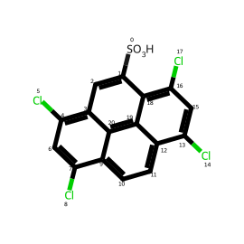 O=S(=O)(O)c1cc2c(Cl)cc(Cl)c3ccc4c(Cl)cc(Cl)c1c4c32